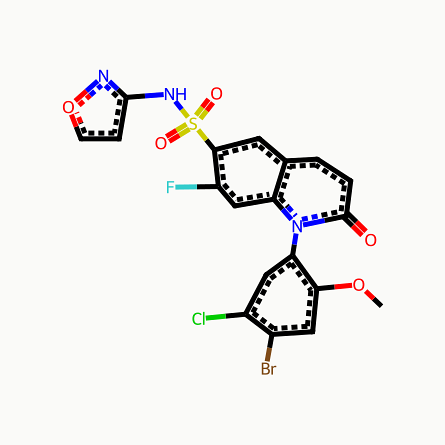 COc1cc(Br)c(Cl)cc1-n1c(=O)ccc2cc(S(=O)(=O)Nc3ccon3)c(F)cc21